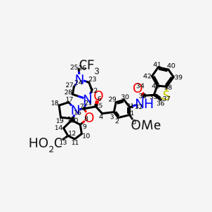 COc1cc(CC(=O)C(OC2CCC(C(=O)O)CC2)(N2CCCC2)N2CCN(CC(F)(F)F)CC2)ccc1NC(=O)c1csc2ccccc12